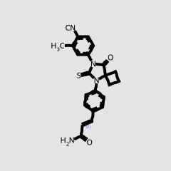 [C-]#[N+]c1ccc(N2C(=O)C3(CCC3)N(c3ccc(/C=C/C(N)=O)cc3)C2=S)cc1C